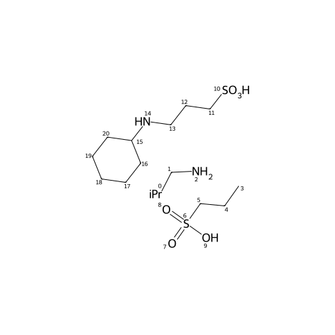 CC(C)CN.CCCS(=O)(=O)O.O=S(=O)(O)CCCNC1CCCCC1